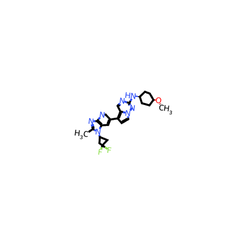 CO[C@H]1CC[C@@H](Nc2ncc3c(-c4cnc5nc(C)n(C6CC(F)(F)C6)c5c4)ccn3n2)CC1